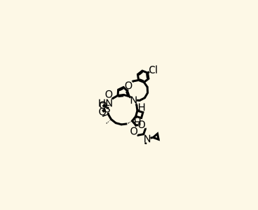 C[C@@H]1[C@@H](C)CCC[C@@H]([C@H]2OC[C@@H](N(C)C3CC3)CO2)[C@@H]2CC[C@H]2CN2CCCCc3cc(Cl)ccc3COc3ccc(cc32)C(=O)NS1(=O)=O